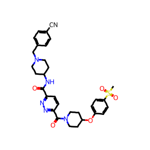 CS(=O)(=O)c1ccc(OC2CCN(C(=O)c3ccc(C(=O)NC4CCN(Cc5ccc(C#N)cc5)CC4)nn3)CC2)cc1